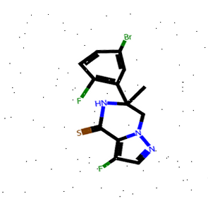 CC1(c2cc(Br)ccc2F)Cn2ncc(F)c2C(=S)N1